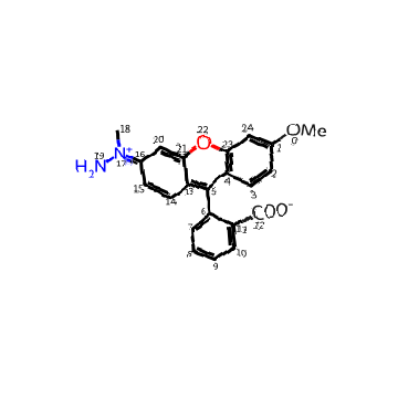 COc1ccc2c(-c3ccccc3C(=O)[O-])c3cc/c(=[N+](/C)N)cc-3oc2c1